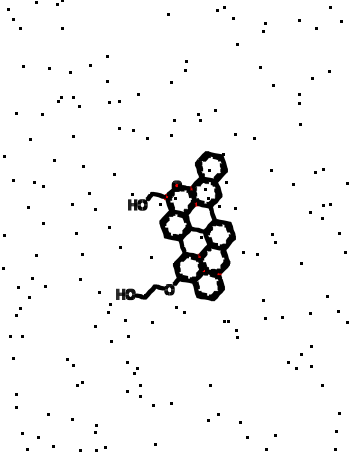 OCCOc1cc(-c2ccc3ccccc3c2-c2c(-c3cc(OCCO)c4ccccc4c3)ccc3ccccc23)cc2ccccc12